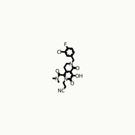 CN(C)C(=O)c1c2c(c(O)c(=O)n1CCC#N)C(=O)N(Cc1ccc(F)c(Cl)c1)CC2